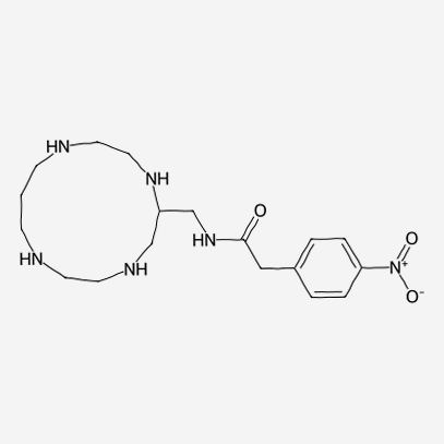 O=C(Cc1ccc([N+](=O)[O-])cc1)NCC1CNCCNCCCNCCN1